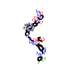 [2H]C1([2H])N(CC2CCN(C/C=C/C(=O)Nc3cc4c(Nc5ccc(F)c(Cl)c5)ncnc4cc3O[C@H]3CCOC3)CC2)C([2H])([2H])C([2H])([2H])N(c2ccc3c(c2)C(=O)N(C2CCC(=O)NC2=O)C3=O)C1([2H])[2H]